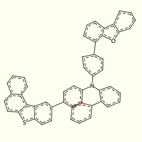 c1ccc(-c2ccccc2N(c2ccc(-c3ccc4sc5ccc6ccccc6c5c4c3)cc2)c2ccc(-c3cccc4c3oc3ccccc34)cc2)cc1